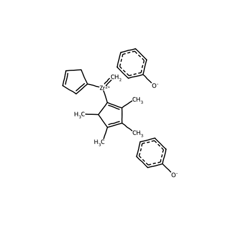 [CH2]=[Zr+2]([C]1=CC=CC1)[C]1=C(C)C(C)=C(C)C1C.[O-]c1ccccc1.[O-]c1ccccc1